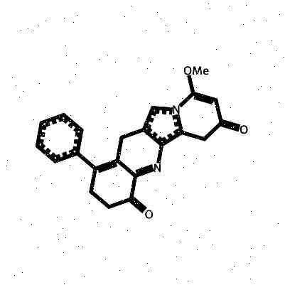 COC1=CC(=O)Cc2c3c(cn21)CC1=C(c2ccccc2)CCC(=O)C1=N3